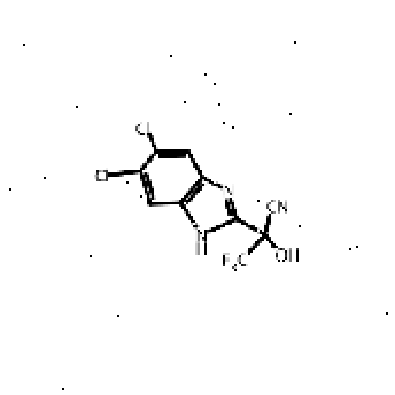 N#CC(O)(c1nc2cc(Cl)c(Cl)cc2[nH]1)C(F)(F)F